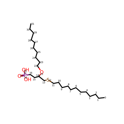 CCCCCCCCCCCCSCC(CCP(=O)(O)O)OCCCCCCCCCC